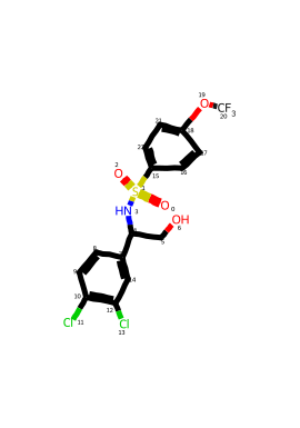 O=S(=O)(NC(CO)c1ccc(Cl)c(Cl)c1)c1ccc(OC(F)(F)F)cc1